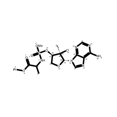 COP(=O)(NC(C)C(=O)OC(C)C)O[C@@H]1CO[C@@H](n2cnc3c(N)ncnc32)[C@]1(C)Cl